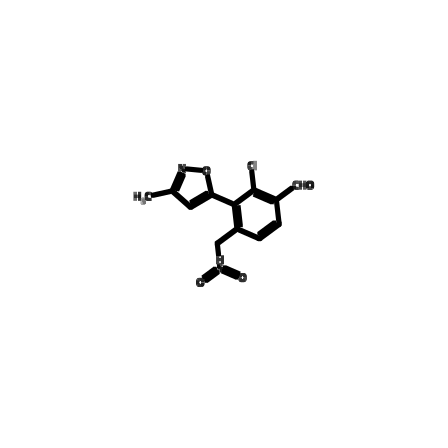 Cc1cc(-c2c(C[SH](=O)=O)ccc(C=O)c2Cl)on1